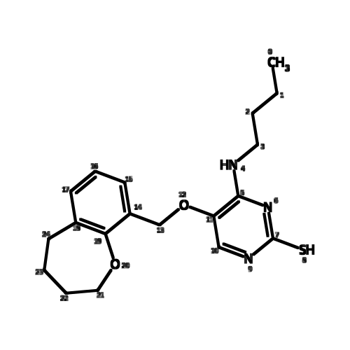 CCCCNc1nc(S)ncc1OCc1cccc2c1OCCCC2